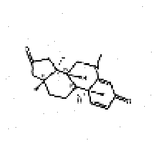 CN1C[C@H]2[C@@H]3CC(=O)C[C@@]3(C)CC[C@@H]2[C@@]2(C)C=CC(=O)C=C12